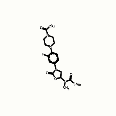 CSC(=O)N(C)C1CN(c2ccc(N3CCN(C(=O)C(C)(C)C)CC3)c(F)c2)C(=O)O1